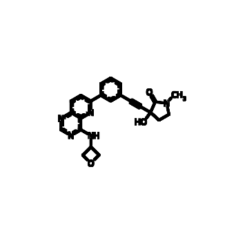 CN1CCC(O)(C#Cc2cccc(-c3ccc4ncnc(NC5COC5)c4n3)c2)C1=O